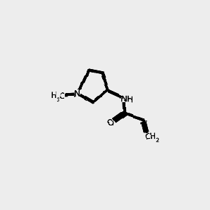 C=[C]C(=O)NC1CCN(C)C1